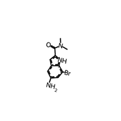 CN(C)C(=O)c1cc2cc(N)cc(Br)c2[nH]1